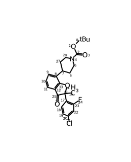 CC(C)(C)OC(=O)N1CCC(c2cccc3c2OC(C)(c2ccc(Cl)cc2F)C3=O)CC1